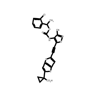 CC(OC(=O)Nc1c(C#N)noc1C#Cc1cc2sc(C3(C(=O)O)CC3)cc2s1)c1ccccc1Cl